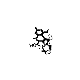 CCc1cc(C)cc(CC)c1-c1c(C(C)C(=O)O)n2n(c1=O)CCOC(C)(C)C2